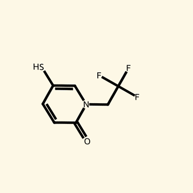 O=c1ccc(S)cn1CC(F)(F)F